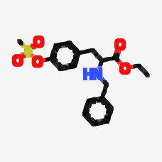 CCOC(=O)C(Cc1ccc(OS(C)(=O)=O)cc1)NCc1ccccc1